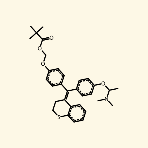 CC(Oc1ccc(/C(=C2/CCSc3ccccc32)c2ccc(OCOC(=O)C(C)(C)C)cc2)cc1)N(C)C